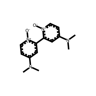 CN(C)c1cc[n+]([O-])c(-c2cc(N(C)C)cc[n+]2[O-])c1